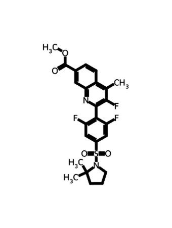 COC(=O)c1ccc2c(C)c(F)c(-c3c(F)cc(S(=O)(=O)N4CCCC4(C)C)cc3F)nc2c1